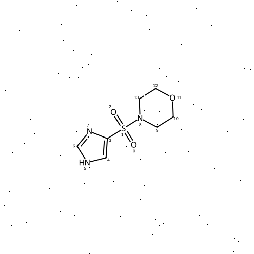 O=S(=O)(c1c[nH]cn1)N1CCOCC1